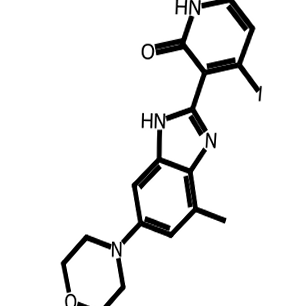 Cc1cc(N2CCOCC2)cc2[nH]c(-c3c(I)cc[nH]c3=O)nc12